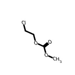 COC(=O)OCCCl